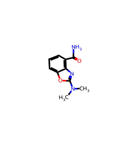 CN(C)c1nc2c(C(N)=O)cccc2o1